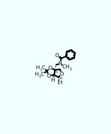 CC[C@H]1OC[C@]2(CN(C)C(=O)c3ccccc3)OC(C)(C)O[C@H]12